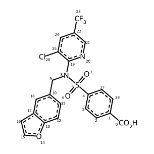 O=C(O)c1ccc(S(=O)(=O)N(Cc2ccc3occc3c2)c2ncc(C(F)(F)F)cc2Cl)cc1